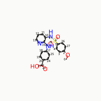 COc1ccc(S(=O)(=O)Nc2cccnc2Nc2ccc(C(=O)O)cc2)cc1